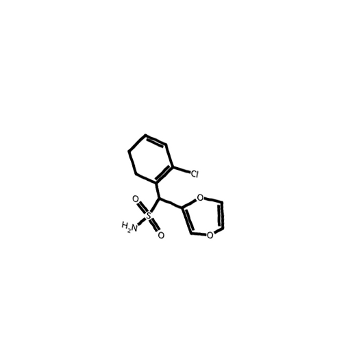 NS(=O)(=O)C(C1=COC=CO1)C1=C(Cl)C=CCC1